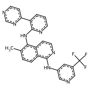 Cc1ccc2c(Nc3cncc(C(F)(F)F)c3)nccc2c1Nc1ncccc1-c1ccncn1